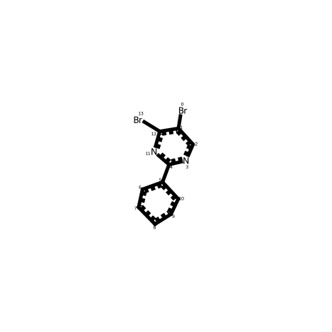 Brc1cnc(-c2ccccc2)nc1Br